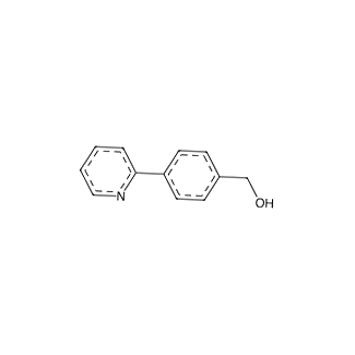 OCc1ccc(-c2ccccn2)cc1